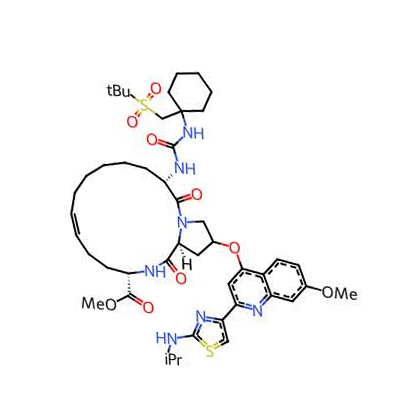 COC(=O)[C@@H]1CCC=CCCCCC[C@H](NC(=O)NC2(CS(=O)(=O)C(C)(C)C)CCCCC2)C(=O)N2CC(Oc3cc(-c4csc(NC(C)C)n4)nc4cc(OC)ccc34)C[C@H]2C(=O)N1